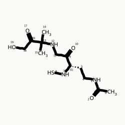 CC(=O)NCC[C@H](NS)C(=O)CNC(C)(C)C(=O)CO